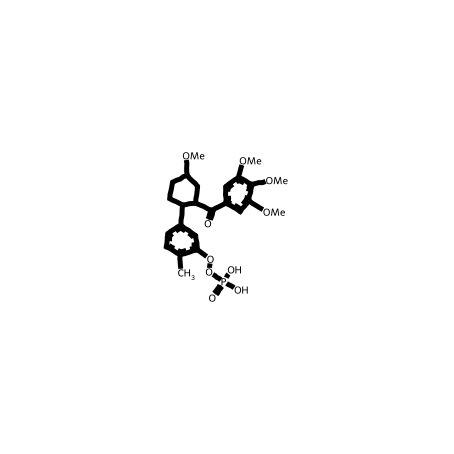 COc1cc(C(=O)C2CC(OC)CCC2c2ccc(C)c(OOP(=O)(O)O)c2)cc(OC)c1OC